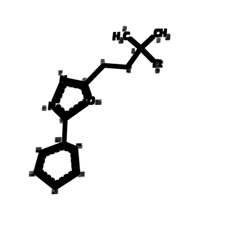 CCC(C)(C)[CH]Cc1nnc(-c2ccccc2)o1